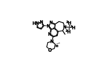 [2H]C([2H])([2H])N1CCc2nn(-c3cc[nH]n3)c3nc(N4CCOC[C@H]4C)cc(c23)C1C